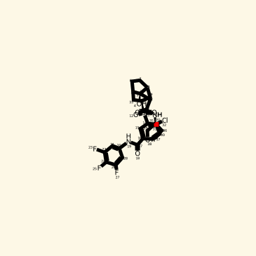 O=C(C[C@]1(O)C2CCC1C[C@@H](S(=O)(=O)c1cc(C(=O)Nc3cc(F)c(F)c(F)c3)ccc1Cl)C2)N[C@H]1CCOC1